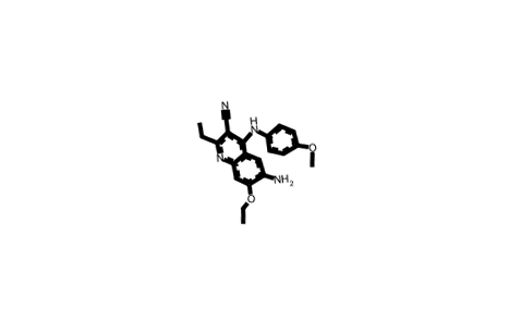 CCOc1cc2nc(CC)c(C#N)c(Nc3ccc(OC)cc3)c2cc1N